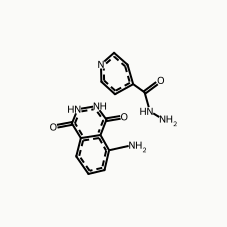 NNC(=O)c1ccncc1.Nc1cccc2c(=O)[nH][nH]c(=O)c12